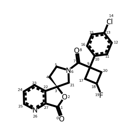 O=C1O[C@]2(CCN(C(=O)C3(c4ccc(Cl)cc4)CC(F)C3)C2)c2cccnc21